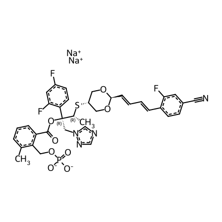 Cc1cccc(C(=O)O[C@@](Cn2cncn2)(c2ccc(F)cc2F)[C@@H](C)S[C@H]2CO[C@H](C=CC=Cc3ccc(C#N)cc3F)OC2)c1COP(=O)([O-])[O-].[Na+].[Na+]